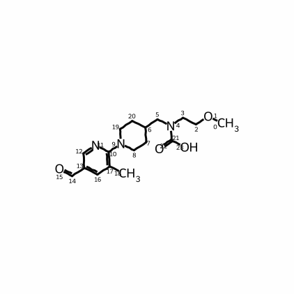 COCCN(CC1CCN(c2ncc(C=O)cc2C)CC1)C(=O)O